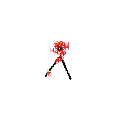 CCCCCCCCCCCCCCCC(=O)O[C@H](COCOCCCCCCCCSC(=O)CCC)COP(=O)(O)OC1C(O)[C@H](O)C(OP(=O)(O)O)[C@H](OP(=O)(O)O)[C@@H]1O